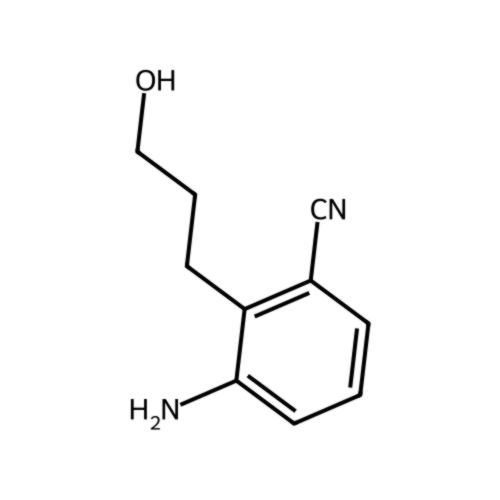 N#Cc1cccc(N)c1CCCO